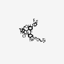 Cn1nc2c(c1CO)C(c1ccc(N3CCC(F)(F)C3)cc1F)N(c1ccc3c(c1)ncn3COCC[Si](C)(C)C)C2=O